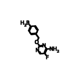 Bc1ccc(COc2ncc(F)c(N)n2)cc1